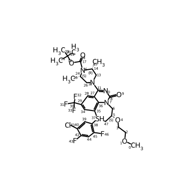 COCCO[C@H]1Cn2c(=O)nc(N3C[C@@H](C)N(C(=O)OC(C)(C)C)[C@@H](C)C3)c3cc(C(F)(F)F)cc(c32)[SH](c2cc(Cl)c(F)cc2F)C1